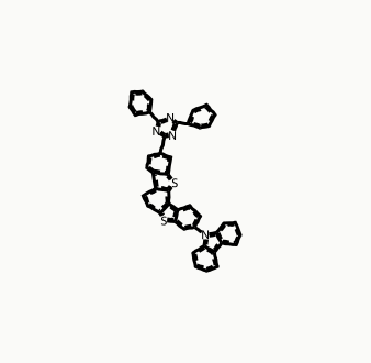 c1ccc(-c2nc(-c3ccccc3)nc(-c3ccc4c(c3)sc3c4ccc4sc5cc(-n6c7ccccc7c7ccccc76)ccc5c43)n2)cc1